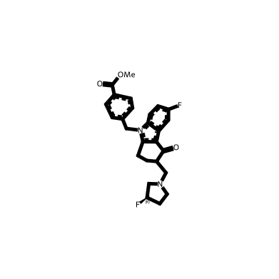 COC(=O)c1ccc(Cn2c3c(c4cc(F)ccc42)C(=O)C(CN2CC[C@@H](F)C2)CC3)cc1